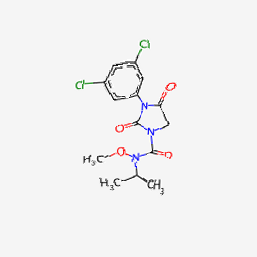 CON(C(=O)N1CC(=O)N(c2cc(Cl)cc(Cl)c2)C1=O)C(C)C